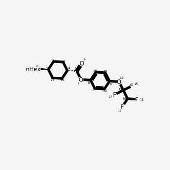 CCCCCC[C@H]1CC[C@H](C(=O)Oc2ccc(OC(F)(F)C(F)F)cc2)CC1